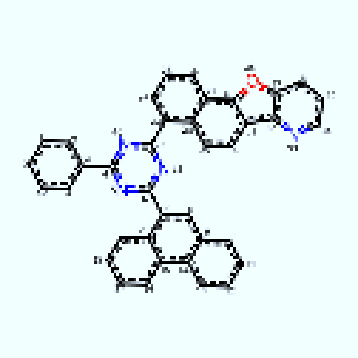 c1ccc(-c2nc(-c3cc4ccccc4c4ccccc34)nc(-c3cccc4c3ccc3c5ncccc5oc43)n2)cc1